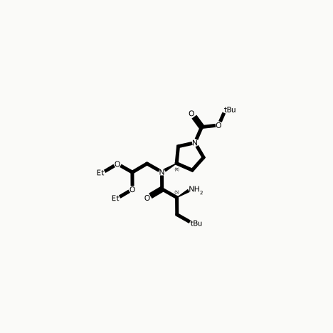 CCOC(CN(C(=O)[C@@H](N)CC(C)(C)C)[C@@H]1CCN(C(=O)OC(C)(C)C)C1)OCC